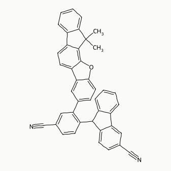 CC1(C)c2ccccc2-c2ccc3c(oc4ccc(-c5cc(C#N)ccc5C5c6ccccc6-c6cc(C#N)ccc65)cc43)c21